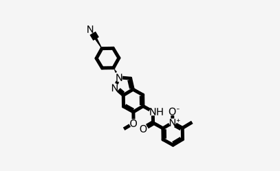 COc1cc2nn([C@H]3CC[C@H](C#N)CC3)cc2cc1NC(=O)c1cccc(C)[n+]1[O-]